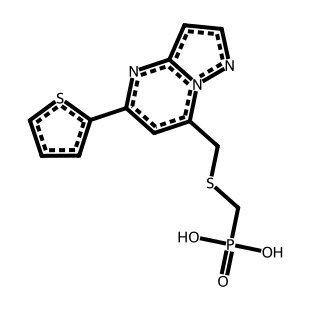 O=P(O)(O)CSCc1cc(-c2cccs2)nc2ccnn12